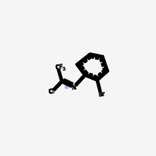 FC(F)(F)/C(Cl)=N\c1ccccc1Br